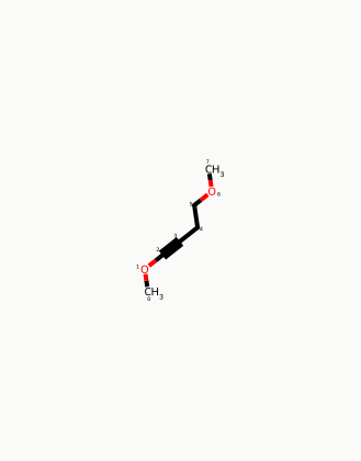 COC#CCCOC